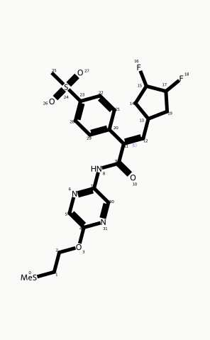 CSCCOc1cnc(NC(=O)/C(=C/C2CC(F)C(F)C2)c2ccc(S(C)(=O)=O)cc2)cn1